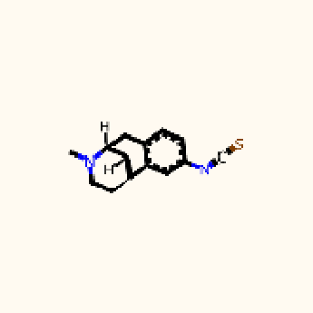 CN1CC[C@]23CCCC[C@H]2[C@H]1Cc1ccc(N=C=S)cc13